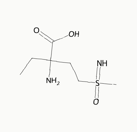 CCC(N)(CCS(C)(=N)=O)C(=O)O